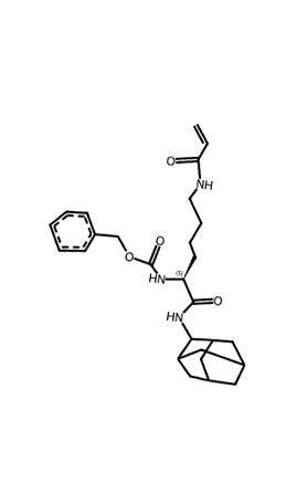 C=CC(=O)NCCCC[C@H](NC(=O)OCc1ccccc1)C(=O)NC1C2CC3CC(C2)CC1C3